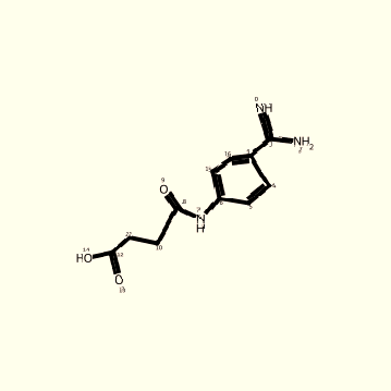 N=C(N)c1ccc(NC(=O)CCC(=O)O)cc1